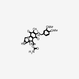 COc1ccc(CNC2=C(C)C(=O)C3=C(C2=O)C(COC(N)=O)C2(OC)C4NC4CN32)cc1OC